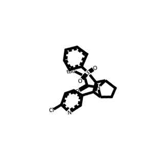 CC(C)(C)OC(=O)N1C2CCC1C(S(=O)(=O)c1ccccc1)=C2c1ccc(Cl)nc1